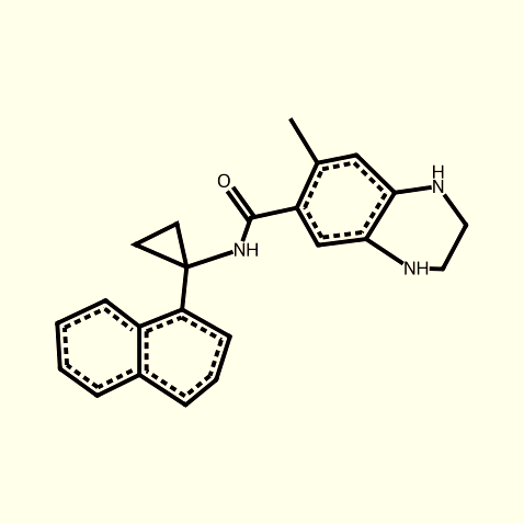 Cc1cc2c(cc1C(=O)NC1(c3cccc4ccccc34)CC1)NCCN2